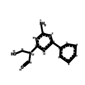 Nc1nc(-c2ccccc2)nc(N(C=O)CO)n1